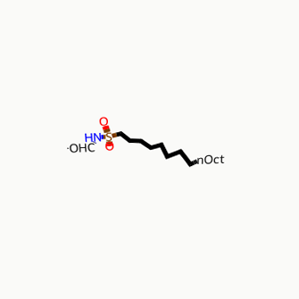 CCCCCCCCCCCCCCCCS(=O)(=O)N[C]=O